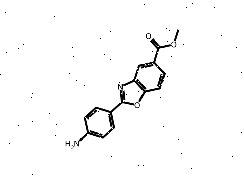 COC(=O)c1ccc2oc(-c3ccc(N)cc3)nc2c1